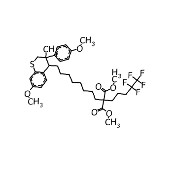 COC(=O)C(CCCCCCCCC1c2ccc(OC)cc2SCC1(C)c1ccc(OC)cc1)(CCCC(F)(F)C(F)(F)F)C(=O)OC